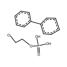 O=P(O)(O)OCCCl.c1ccc(-c2ccccc2)cc1